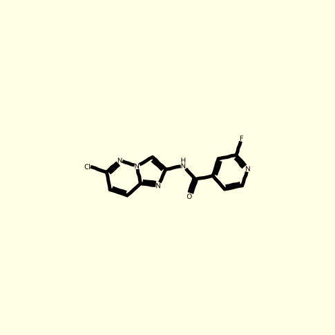 O=C(Nc1cn2nc(Cl)ccc2n1)c1ccnc(F)c1